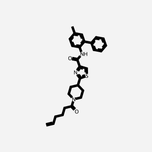 C=CCCCC(=O)N1CCC(c2nc(C(=O)Nc3ccc(C)cc3-c3ccccc3)cs2)CC1